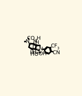 CN(C(=O)O)[C@H]1C[C@@H]2O[C@H]1[C@H]1CN(c3ccc(C#N)c(C(F)(F)F)c3)S(O)(O)[C@H]12